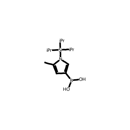 Cc1cc(B(O)O)cn1[Si](C(C)C)(C(C)C)C(C)C